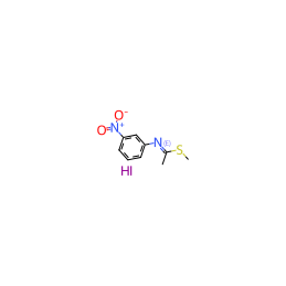 CS/C(C)=N/c1cccc([N+](=O)[O-])c1.I